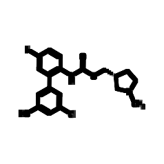 CN1CC[C@@H](COC(=O)Nc2ccc(F)cc2-c2cc(O)cc(Cl)c2)C1